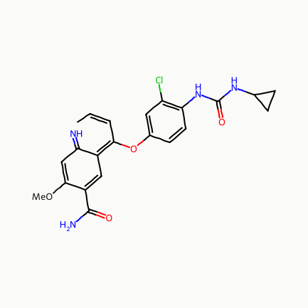 C/C=C\C(Oc1ccc(NC(=O)NC2CC2)c(Cl)c1)=C1\C=C(C(N)=O)C(OC)=CC1=N